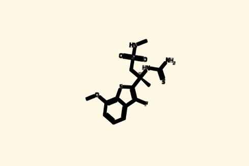 CNS(=O)(=O)C[C@](C)(NC(N)=S)c1sc2c(OC)cccc2c1F